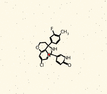 Cc1ccc([C@@]2(NC(=O)c3ccc(=O)[nH]c3)CCOc3cc(Cl)cnc32)cc1F